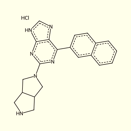 Cl.c1ccc2cc(-c3nc(N4CC5CNCC5C4)nc4[nH]cnc34)ccc2c1